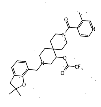 Cc1cnccc1C(=O)N1CCC2(CCN(Cc3cccc4c3OC(C)(C)C4)CC2OC(=O)C(F)(F)F)CC1